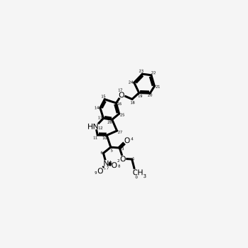 CCOC(=O)C(C[N+](=O)[O-])C1=CNc2ccc(OCc3ccccc3)cc2C1